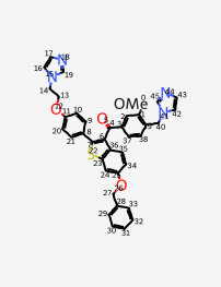 COc1cc(C(=O)c2c(-c3ccc(OCCn4ccnc4)cc3)sc3cc(OCc4ccccc4)ccc23)ccc1Cn1ccnc1